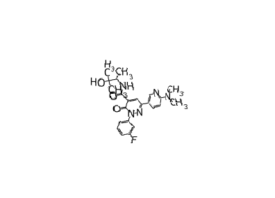 C[C@@H](NC(=O)c1cc(-c2ccc(N(C)C)nc2)nn(-c2cccc(F)c2)c1=O)C(C)(C)O